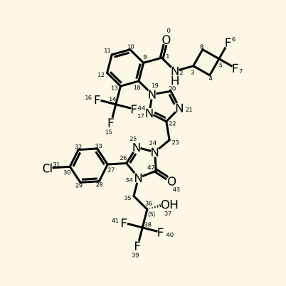 O=C(NC1CC(F)(F)C1)c1cccc(C(F)(F)F)c1-n1cnc(Cn2nc(-c3ccc(Cl)cc3)n(C[C@H](O)C(F)(F)F)c2=O)n1